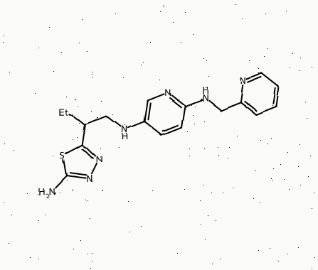 CCC(CNc1ccc(NCc2ccccn2)nc1)c1nnc(N)s1